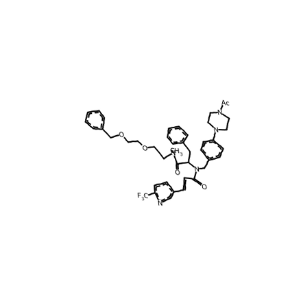 CC(=O)N1CCN(c2ccc(CN(C(=O)C=Cc3ccc(C(F)(F)F)nc3)C(Cc3ccccc3)C(=O)N(C)CCOCCOCc3ccccc3)cc2)CC1